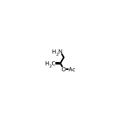 C=C(CN)OC(C)=O